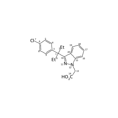 CCC(CC)(c1ccc(Cl)cc1)c1nn(CC(=O)O)c2ccccc12